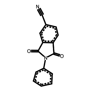 N#Cc1ccc2c(c1)C(=O)N(c1ccccc1)C2=O